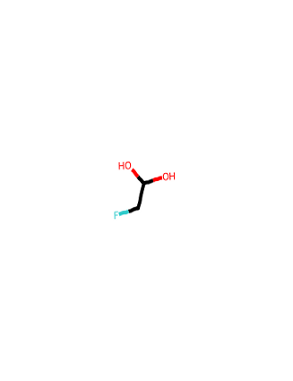 OC(O)CF